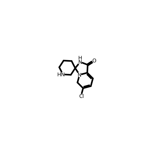 O=C1NC2(CCCNC2)N2CC(Cl)=CC=C12